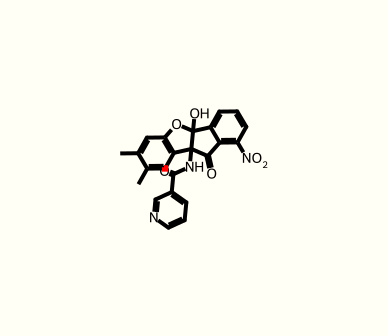 Cc1cc2c(cc1C)C1(NC(=O)c3cccnc3)C(=O)c3c([N+](=O)[O-])cccc3C1(O)O2